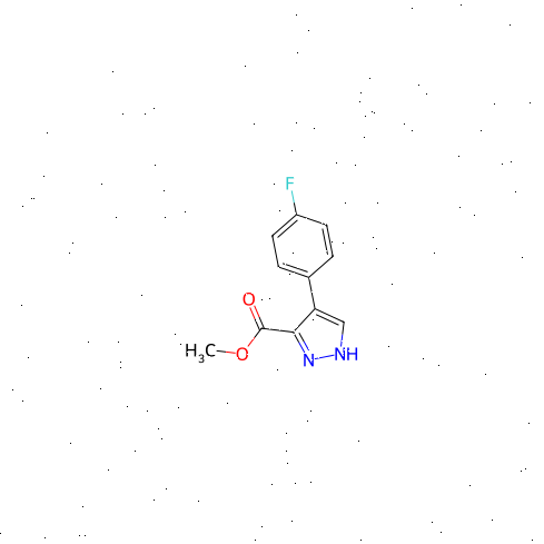 COC(=O)c1n[nH]cc1-c1ccc(F)cc1